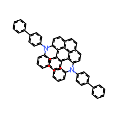 c1ccc(-c2ccc(N(c3ccccc3)c3ccc4ccc5ccc(N(c6ccccc6)c6ccc(-c7ccccc7)cc6)c6c7ccccc7c3c4c56)cc2)cc1